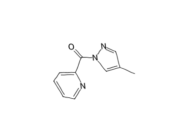 Cc1cnn(C(=O)c2ccccn2)c1